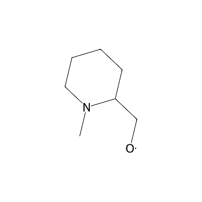 CN1CCCCC1C[O]